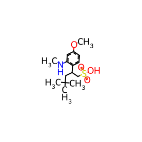 CNc1cc(OC)ccc1C(CC(C)(C)C)CS(=O)(=O)O